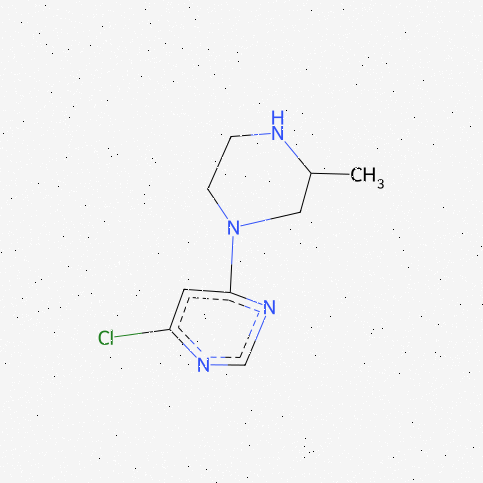 CC1CN(c2cc(Cl)ncn2)CCN1